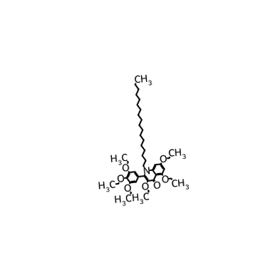 CCCCCCCCCCCCCCCCCCn1c(-c2cc(OCC)c(OCC)c(OCC)c2)c(OCC)c(=O)c2c(OCC)cc(OCC)cc21